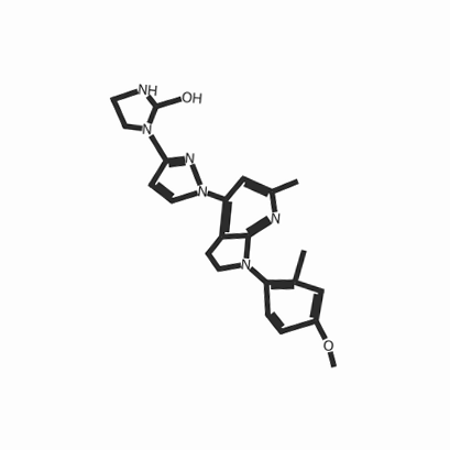 COc1ccc(N2CCc3c(-n4ccc(N5CCNC5O)n4)cc(C)nc32)c(C)c1